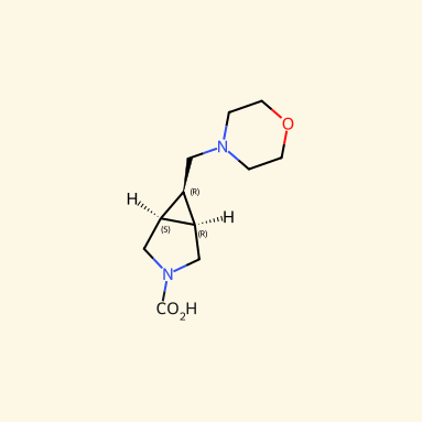 O=C(O)N1C[C@@H]2[C@H](CN3CCOCC3)[C@@H]2C1